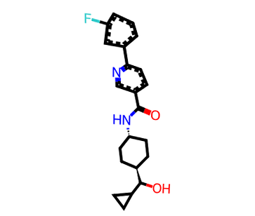 O=C(N[C@H]1CC[C@H](C(O)C2CC2)CC1)c1ccc(-c2cccc(F)c2)nc1